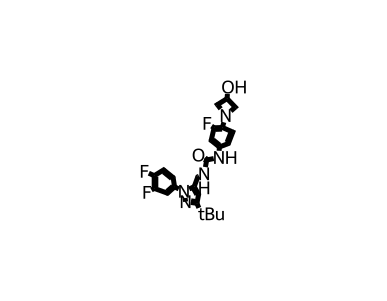 CC(C)(C)c1cc(CNC(=O)Nc2ccc(N3CC(O)C3)c(F)c2)n(-c2ccc(F)c(F)c2)n1